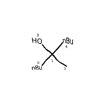 CCCCC(C)(O)CCCC